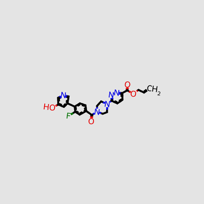 C=CCOC(=O)c1ccc(N2CCN(C(=O)c3ccc(-c4cncc(O)c4)c(F)c3)CC2)nn1